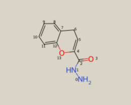 NNC(=O)C1=CCc2ccccc2O1